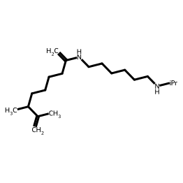 C=C(CCCCC(C)C(=C)C)NCCCCCCNC(C)C